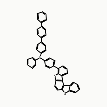 c1ccc(-c2ccc(-c3ccc(N(c4ccccc4)c4ccc(-c5cccc6c5sc5ccc7sc8ccccc8c7c56)cc4)cc3)cc2)cc1